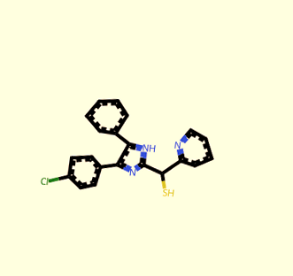 SC(c1ccccn1)c1nc(-c2ccc(Cl)cc2)c(-c2ccccc2)[nH]1